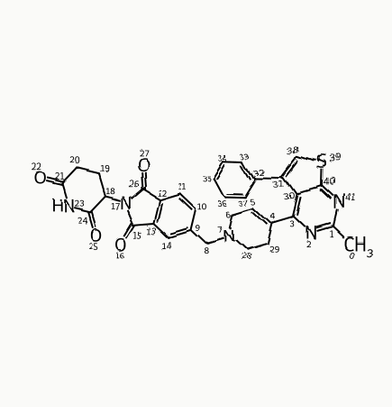 Cc1nc(C2=CCN(Cc3ccc4c(c3)C(=O)N(C3CCC(=O)NC3=O)C4=O)CC2)c2c(-c3ccccc3)csc2n1